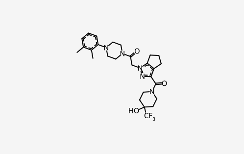 Cc1cccc(N2CCN(C(=O)Cn3nc(C(=O)N4CCC(O)(C(F)(F)F)CC4)c4c3CCC4)CC2)c1C